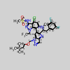 C[Si](C)(C)CCOCn1ncc2nc(C(Cc3cc(F)cc(F)c3)NC(=O)O)c(-c3ccc(Cl)c4c(NS(C)(=O)=O)nn(CC(F)(F)F)c34)cc21